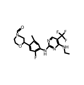 CCNc1nc(Nc2cc(C)c(C3CN(C=O)CCO3)cc2F)ncc1C(F)(F)F